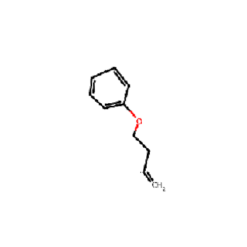 C=[C]CCOc1ccccc1